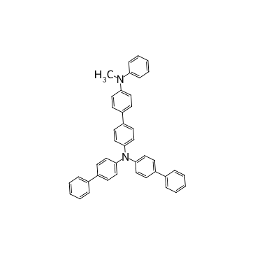 CN(c1ccccc1)c1ccc(-c2ccc(N(c3ccc(-c4ccccc4)cc3)c3ccc(-c4ccccc4)cc3)cc2)cc1